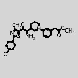 COC(=O)Cc1cccc(N2CCCC(C(N)C(=O)c3sc(-c4ccc(Cl)cc4)nc3C)C2)c1